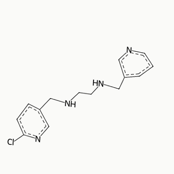 Clc1ccc(CNCCNCc2cccnc2)cn1